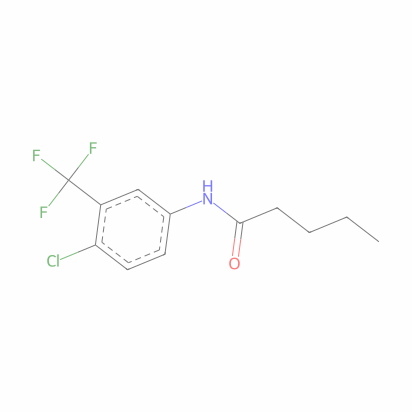 CCCCC(=O)Nc1ccc(Cl)c(C(F)(F)F)c1